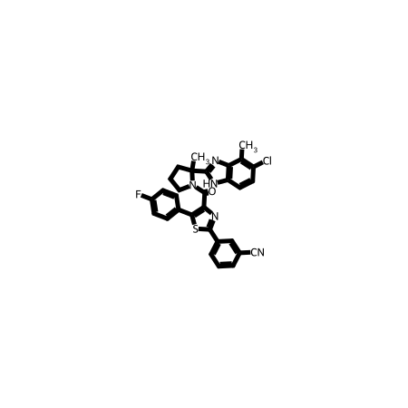 Cc1c(Cl)ccc2[nH]c(C3(C)CCCN3C(=O)c3nc(-c4cccc(C#N)c4)sc3-c3ccc(F)cc3)nc12